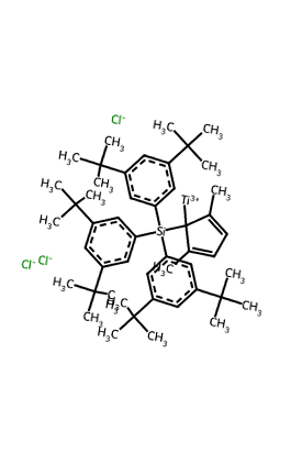 CC1=CC=C(C)[C]1([Ti+3])[Si](c1cc(C(C)(C)C)cc(C(C)(C)C)c1)(c1cc(C(C)(C)C)cc(C(C)(C)C)c1)c1cc(C(C)(C)C)cc(C(C)(C)C)c1.[Cl-].[Cl-].[Cl-]